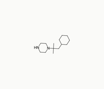 CC(C)(CC1CCCCC1)N1CCNCC1